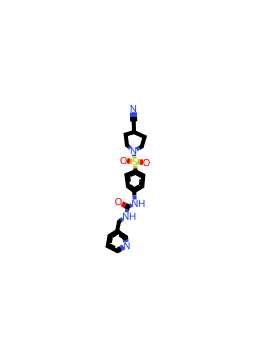 N#CC1CCN(S(=O)(=O)c2ccc(NC(=O)NCc3cccnc3)cc2)CC1